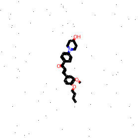 CCCCOc1ccc(/C=C/C(=O)c2ccc(N3CCC(O)CC3)cc2)cc1OC